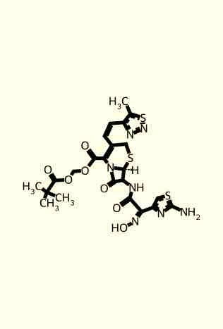 Cc1snnc1/C=C\C1=C(C(=O)OCOC(=O)C(C)(C)C)N2C(=O)C(NC(=O)/C(=N\O)c3csc(N)n3)[C@@H]2SC1